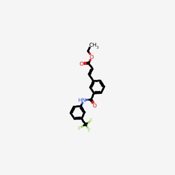 CCOC(=O)/C=C/c1cccc(C(=O)Nc2cccc(C(F)(F)F)c2)c1